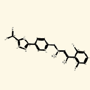 N/C(=C\N(N)Cc1ccc(-c2nnc(C(F)F)o2)cn1)c1c(F)cccc1F